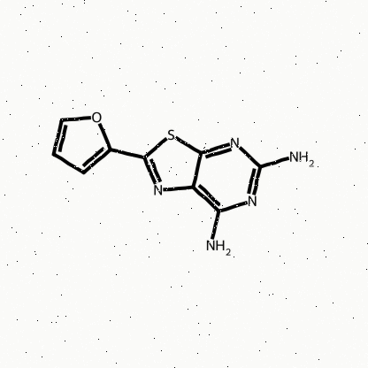 Nc1nc(N)c2nc(-c3ccco3)sc2n1